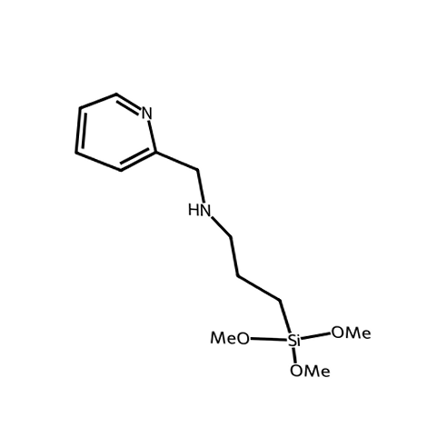 CO[Si](CCCNCc1ccccn1)(OC)OC